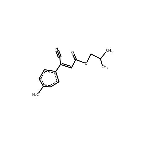 Cc1ccc(C(C#N)=CC(=O)OCC(C)C)cc1